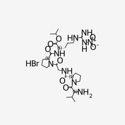 Br.CC(C)OC(=O)[C@H](CCCNC(=N)N[N+](=O)[O-])NC(=O)[C@@H]1CCCN1C(=O)CNC(=O)[C@@H]1CCCN1C(=O)[C@@H](N)C(C)C